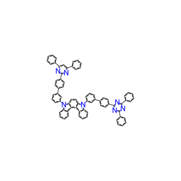 c1ccc(-c2cc(-c3ccccc3)nc(-c3ccc(-c4cccc(-n5c6ccccc6c6c7c8ccccc8n(-c8cccc(-c9ccc(-c%10nc(-c%11ccccc%11)nc(-c%11ccccc%11)n%10)cc9)c8)c7ccc65)c4)cc3)n2)cc1